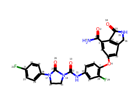 NC(=O)c1cc(Oc2ccc(NC(=O)N3CCN(c4ccc(F)cc4)C3=O)cc2F)cc2c1C(=O)NC2